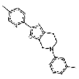 Cc1ccc(-c2nc3c(o2)CN(c2cccc(C)c2)CC3)nc1